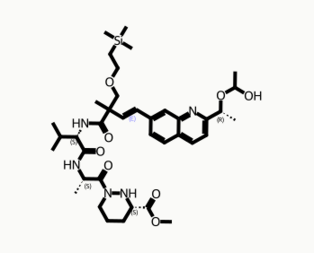 COC(=O)[C@@H]1CCCN(C(=O)[C@H](C)NC(=O)[C@@H](NC(=O)C(C)(/C=C/c2ccc3ccc([C@@H](C)OC(C)O)nc3c2)COCC[Si](C)(C)C)C(C)C)N1